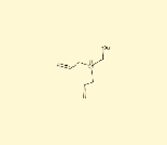 C=C[CH2][SnH]([CH2]C=C)[CH2]CCCC